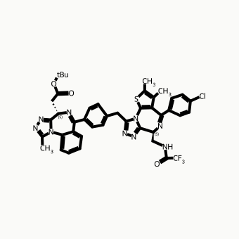 Cc1sc2c(c1C)C(c1ccc(Cl)cc1)=N[C@@H](CNC(=O)C(F)(F)F)c1nnc(Cc3ccc(C4=N[C@@H](CC(=O)OC(C)(C)C)c5nnc(C)n5-c5ccccc54)cc3)n1-2